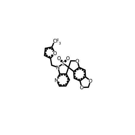 O=S1(=O)N(Cc2ccc(C(F)(F)F)o2)c2ncccc2C12COc1cc3c(cc12)OCO3